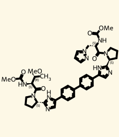 COC(=O)N[C@@H](Cn1cccn1)C(=O)N1CCC[C@H]1c1ncc(-c2ccc(-c3ccc(-c4cnc([C@@H]5CCCN5C(=O)[C@@H](NC(=O)OC)[C@@H](C)OC)[nH]4)cc3)cc2)[nH]1